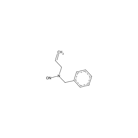 C=CCN(Cc1ccccc1)N=O